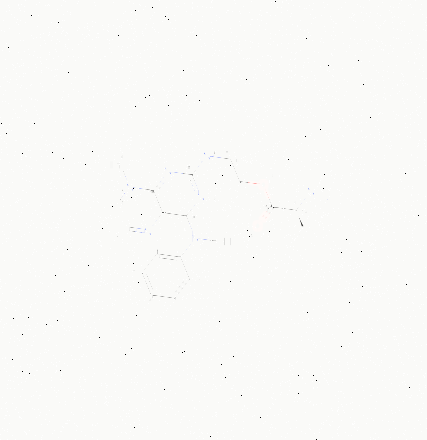 C=NC1C(N(C)C(C)C)=NC(N[C@H](CC)COC(=O)[C@@H](N)C(C)C)=NC1N(C)c1ccccc1